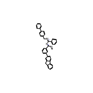 C=N/C(=N\C(=N/Cc1ccc(-c2ccccc2)cc1)c1ccccc1)c1cccc(-c2ccc3c(c2)Cc2ccccc2-3)c1